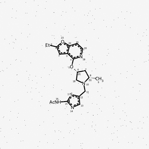 CCc1cc2c(O[C@@H]3C[C@H](C)N(Cc4cnc(NC(C)=O)s4)C3)nccc2o1